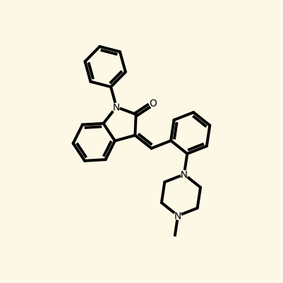 CN1CCN(c2ccccc2C=C2C(=O)N(c3ccccc3)c3ccccc32)CC1